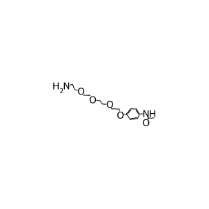 CC(=O)Nc1ccc(OCCOCCOCCOCCN)cc1